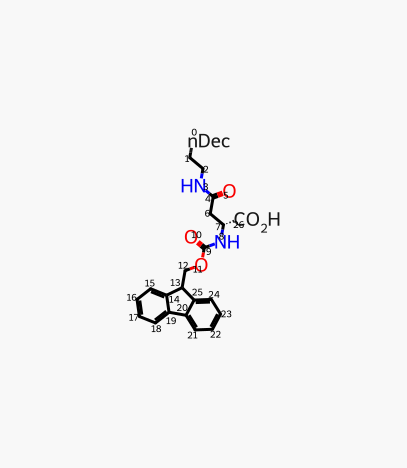 CCCCCCCCCCCCNC(=O)C[C@@H](NC(=O)OCC1c2ccccc2-c2ccccc21)C(=O)O